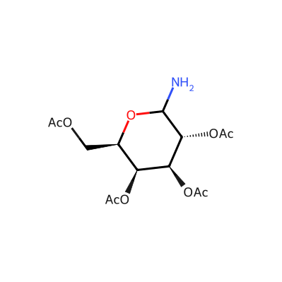 CC(=O)OC[C@H]1OC(N)[C@H](OC(C)=O)[C@@H](OC(C)=O)[C@H]1OC(C)=O